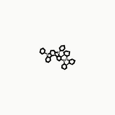 c1ccc(-n2c3ccccc3c3c4c5ccc6c(c5n(-c5ccccc5)c4ccc32)-c2ccccc2N2B6c3ccccc3-c3ccccc32)cc1